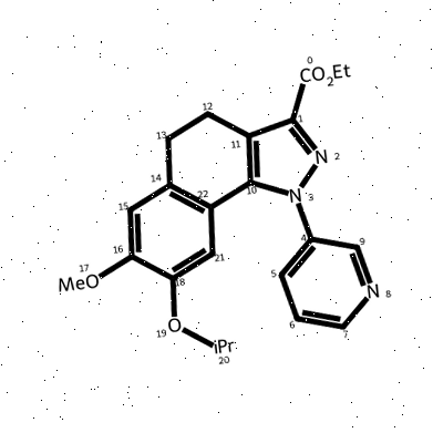 CCOC(=O)c1nn(-c2cccnc2)c2c1CCc1cc(OC)c(OC(C)C)cc1-2